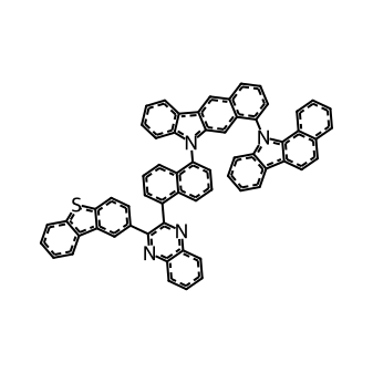 c1cc(-n2c3ccccc3c3ccc4ccccc4c32)c2cc3c(cc2c1)c1ccccc1n3-c1cccc2c(-c3nc4ccccc4nc3-c3ccc4sc5ccccc5c4c3)cccc12